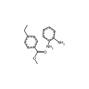 CCc1ccc(C(=O)OC)cc1.Nc1ccccc1N